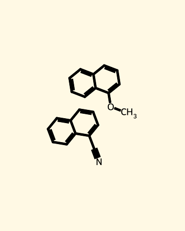 COc1cccc2ccccc12.N#Cc1cccc2ccccc12